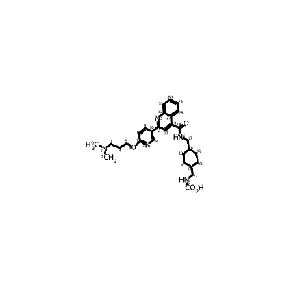 CN(C)CCCOc1ccc(-c2cc(C(=O)NCC3CCC(CNC(=O)O)CC3)c3ccccc3n2)cn1